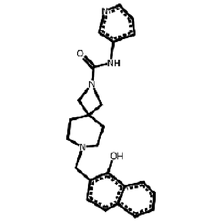 O=C(Nc1cccnc1)N1CC2(CCN(Cc3ccc4ccccc4c3O)CC2)C1